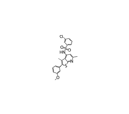 COc1cccc(-c2sc3nc(C)cc(NS(=O)(=O)c4cccc(Cl)c4)c3c2C)c1